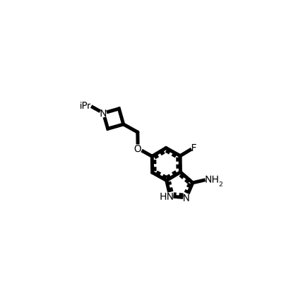 CC(C)N1CC(COc2cc(F)c3c(N)n[nH]c3c2)C1